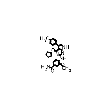 COc1cc(C(N)=O)ccc1Nc1nc(OC2CCCC2)c2c(-c3ccc(C)cc3)c[nH]c2n1